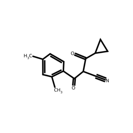 Cc1ccc(C(=O)C(C#N)C(=O)C2CC2)c(C)c1